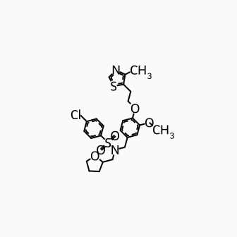 COc1cc(CN(CC2CCCO2)S(=O)(=O)c2ccc(Cl)cc2)ccc1OCCc1scnc1C